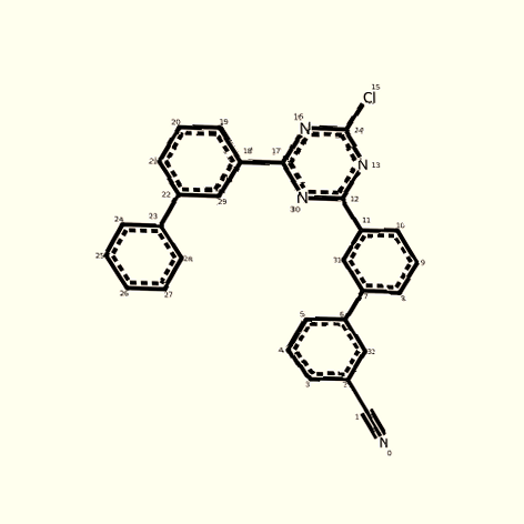 N#Cc1cccc(-c2cccc(-c3nc(Cl)nc(-c4cccc(-c5ccccc5)c4)n3)c2)c1